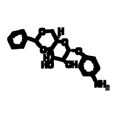 Nc1ccc(O[C@H]2O[C@@H]3COC(c4ccccc4)O[C@H]3[C@H](O)[C@H]2O)cc1